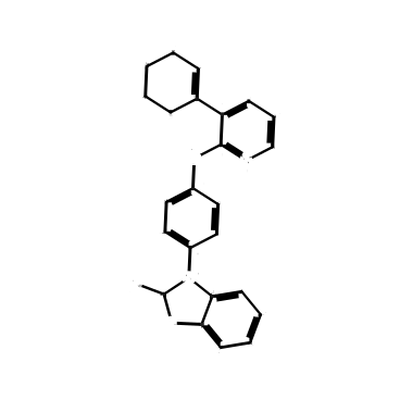 NC1Sc2ccccc2N1c1ccc(Oc2ncccc2C2=CCCCC2)cc1